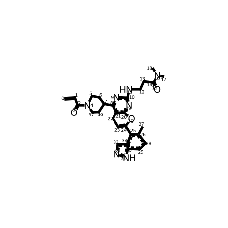 C=CC(=O)N1CCC(c2nc(NCCC(=O)N(C)C)nc3c2CC=C(c2c(C)ccc4[nH]ncc24)O3)CC1